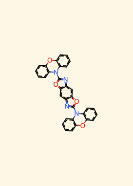 c1ccc2c(c1)Oc1ccccc1N2c1nc2cc3oc(N4c5ccccc5Oc5ccccc54)nc3cc2o1